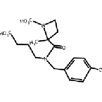 CC1(C(=O)N(CCCC(=O)O)Cc2ccc(Cl)cc2)CCN1C(=O)O